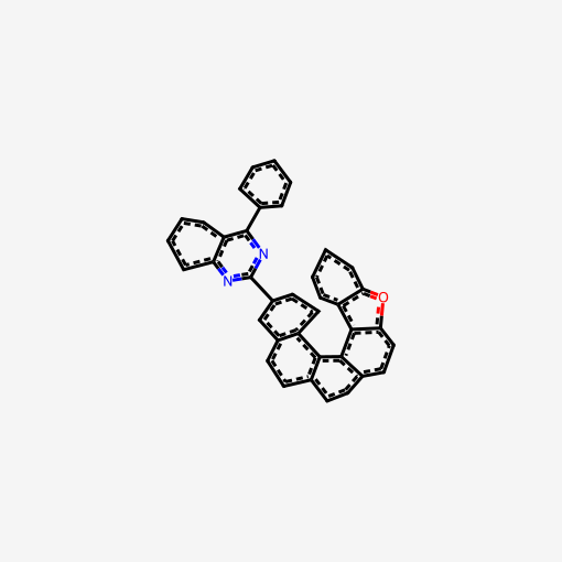 c1ccc(-c2nc(-c3ccc4c(ccc5ccc6ccc7oc8ccccc8c7c6c54)c3)nc3ccccc23)cc1